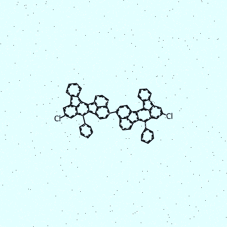 Clc1cc2c(-c3ccccc3)c3c4ccc(-c5ccc6c7c5cccc7c5c(-c7ccccc7)c7cc(Cl)cc8c9ccccc9c(c78)c65)c5cccc(c54)c3c3c4ccccc4c(c1)c23